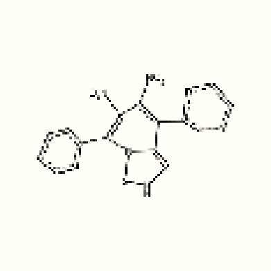 O=[N+]([O-])C1=C(c2ccccc2)C2=CNSN2C(c2ccccc2)=C1[N+](=O)[O-]